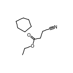 C1CCCCC1.CCOC(=O)CCC#N